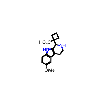 COc1ccc2[nH]c3c(c2c1)CCNC3C1(C(=O)O)CCC1